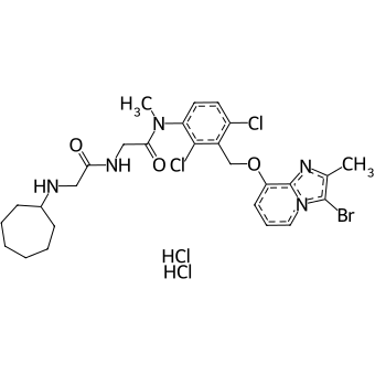 Cc1nc2c(OCc3c(Cl)ccc(N(C)C(=O)CNC(=O)CNC4CCCCCC4)c3Cl)cccn2c1Br.Cl.Cl